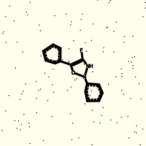 FC1=C(c2ccccc2)ON(c2ccccc2)N1